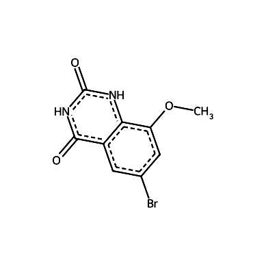 COc1cc(Br)cc2c(=O)[nH]c(=O)[nH]c12